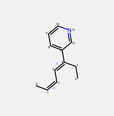 C/C=C\C=C(/CC)c1cccnc1